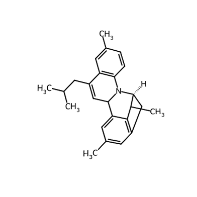 Cc1ccc2c(c1)C(CC(C)C)=CC1c3cc(C)cc4c3C(C)[C@H](C4)N21